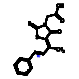 CC(/C=C/c1ccccc1)=C1SC(=S)N(CC(=O)O)C1=O